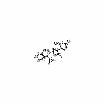 CCCN(c1nc(-c2ccc(Cl)cc2Cl)c(C)s1)C(c1ccc(C)cc1)C1CC1